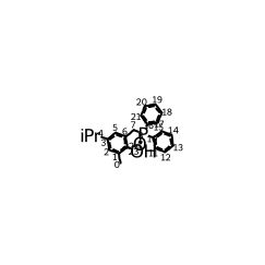 Cc1cc(C(C)C)cc(CP(=O)(c2ccccc2)c2ccccc2)c1O